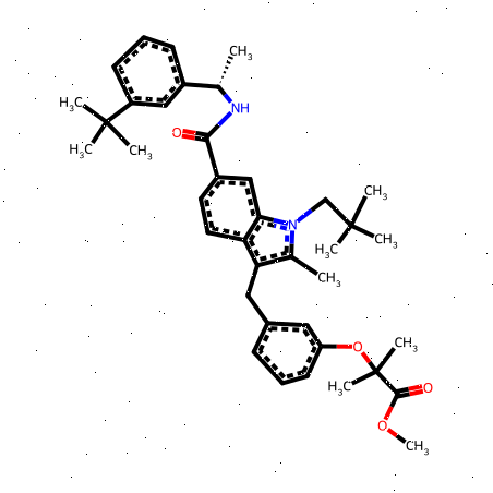 COC(=O)C(C)(C)Oc1cccc(Cc2c(C)n(CC(C)(C)C)c3cc(C(=O)N[C@@H](C)c4cccc(C(C)(C)C)c4)ccc23)c1